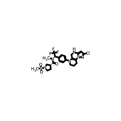 CN(C(=O)[C@@H]1CCN(S(C)(=O)=O)C1)[C@@H](c1ccc(N2CCCC3=C2CNc2cc(Cl)nn23)cc1)C(F)(F)F